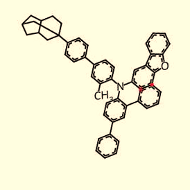 Cc1cc(-c2ccc(C34CCC5CC(CC5C3)C4)cc2)ccc1N(c1ccc2oc3ccccc3c2c1)c1ccc(-c2ccccc2)cc1-c1ccccc1